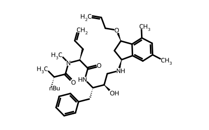 C=CCO[C@@H]1C[C@H](NC[C@@H](O)[C@H](Cc2ccccc2)NC(=O)[C@H](CC=C)N(C)C(=O)[C@@H](C)CCCC)c2cc(C)cc(C)c21